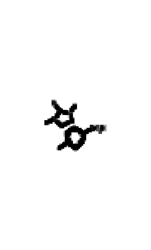 CN1CCN(C)C1F.Cc1ccc(S(=O)(=O)O)cc1